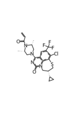 C=CC(=O)N1[C@H](C)CN(c2nc(=O)n3c4c(c(Cl)c(C(F)(F)F)cc24)SC[C@H](C2CC2)C3)C[C@@H]1C